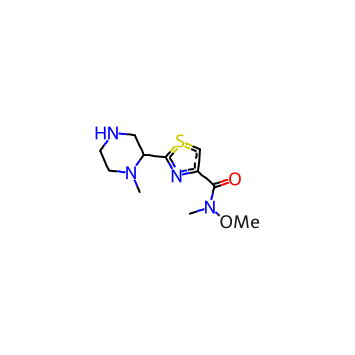 CON(C)C(=O)c1csc(C2CNCCN2C)n1